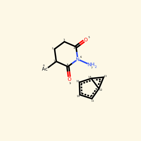 CC(=O)C1CCC(=O)N(N)C1=O.c1cc2cc-2c1